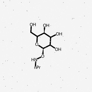 CCCNO[C@H]1OC(CO)[C@@H](O)C(O)C1O